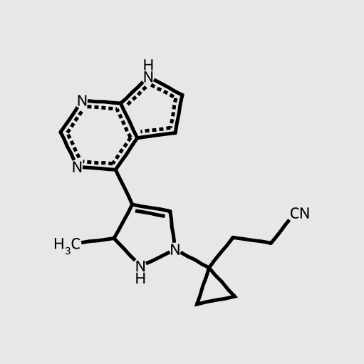 CC1NN(C2(CCC#N)CC2)C=C1c1ncnc2[nH]ccc12